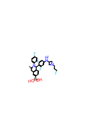 C[C@@H]1Cc2cc(B(O)O)ccc2C(c2c(F)cc(NC3CN(CCCF)C3)cc2F)N1c1ccc(F)cc1